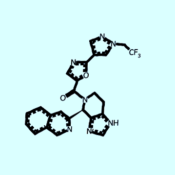 O=C(c1cnc(-c2cnn(CC(F)(F)F)c2)o1)N1CCc2[nH]cnc2[C@H]1c1cc2ccccc2cn1